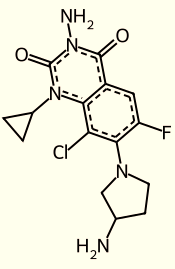 NC1CCN(c2c(F)cc3c(=O)n(N)c(=O)n(C4CC4)c3c2Cl)C1